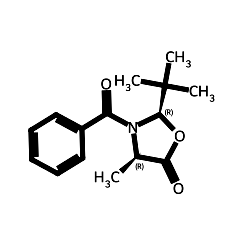 C[C@@H]1C(=O)O[C@H](C(C)(C)C)N1C(=O)c1ccccc1